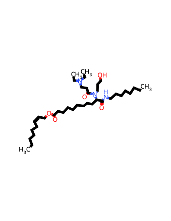 CCCCCC/C=C\COC(=O)CCCCCCCCC(C(=O)NCCCCCCCC)N(CCCO)C(=O)CCN(CC)CC